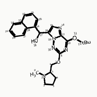 CN1CCCC1COc1nc(OC(C)(C)C)c2ncc(C(O)c3cccc4ccccc34)n2n1